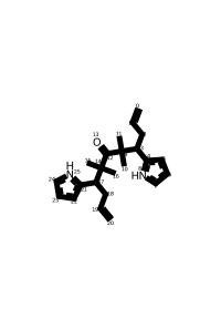 C=CCC(c1ccc[nH]1)C(C)(C)C(=O)C(C)(C)C(CC=C)c1ccc[nH]1